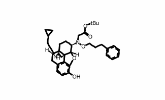 CC(C)(C)OC(=O)CN(OCCCc1ccccc1)[C@@H]1CC[C@H]2[C@H]3Cc4ccc(O)c5c4[C@@]2(CCN3CC2CC2)[C@H]1O5